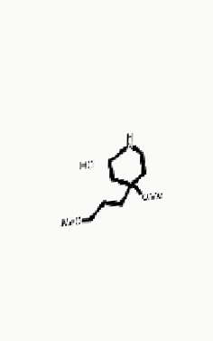 COCCCC1(OC)CCNCC1.Cl